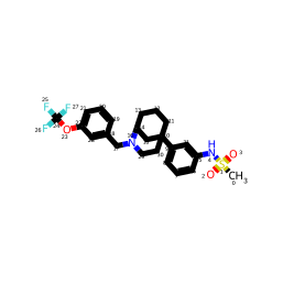 CS(=O)(=O)Nc1cccc(C23CCCC(C2)N(Cc2cccc(OC(F)(F)F)c2)CC3)c1